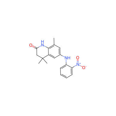 Cc1cc(Nc2ccccc2[N+](=O)[O-])cc2c1NC(=O)CC2(C)C